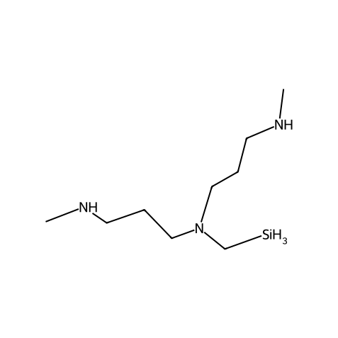 CNCCCN(C[SiH3])CCCNC